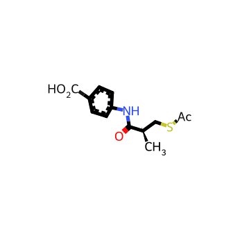 CC(=O)SC[C@@H](C)C(=O)Nc1ccc(C(=O)O)cc1